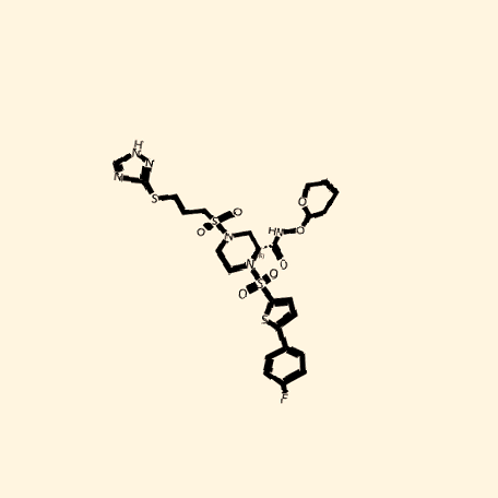 O=C(NOC1CCCCO1)[C@H]1CN(S(=O)(=O)CCCSc2nc[nH]n2)CCN1S(=O)(=O)c1ccc(-c2ccc(F)cc2)s1